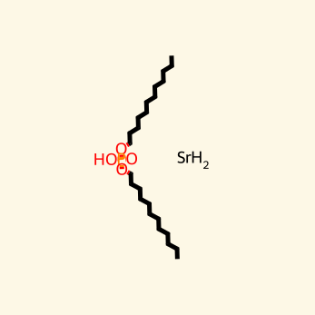 CCCCCCCCCCCCOP(=O)(O)OCCCCCCCCCCCC.[SrH2]